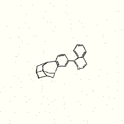 c1ccc2c(-c3ccc4c(c3)C3CC5CC6CC4CC65C3)nccc2c1